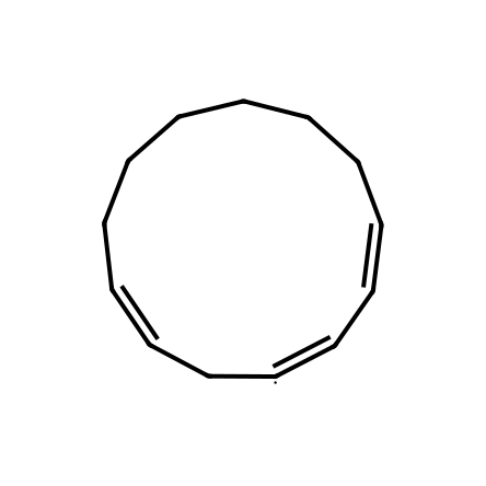 [C]1=CC=CCCCCCCC=CC1